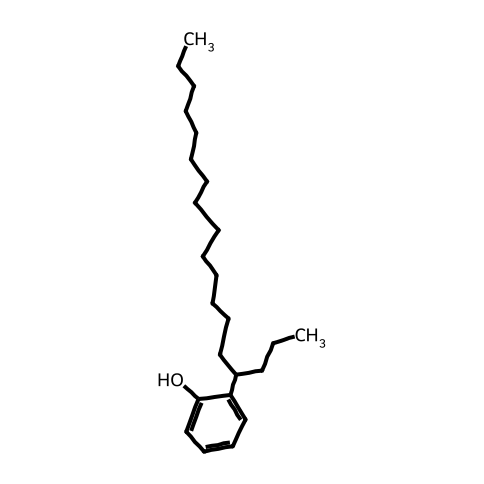 CCCCCCCCCCCCCCC(CCC)c1ccccc1O